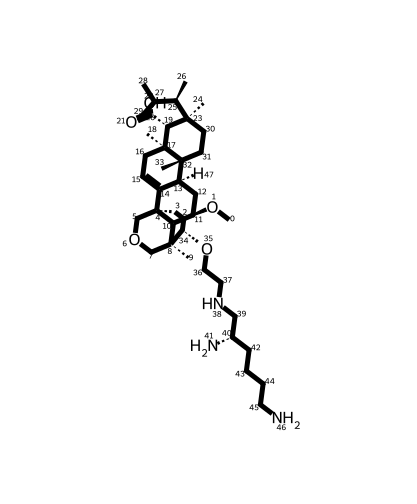 CO[C@@H]1C[C@@]23COC[C@@](C)(C2CC[C@H]2C3=CC[C@@]3(C)[C@H](C(=O)O)[C@@](C)([C@H](C)C(C)C)CC[C@]23C)[C@H]1OCCNC[C@@H](N)CCCCN